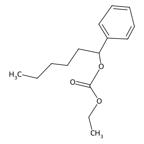 CCCCCC(OC(=O)OCC)c1ccccc1